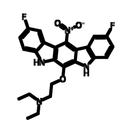 CCN(CC)CCOc1c2[nH]c3ccc(F)cc3c2c([N+](=O)[O-])c2c1[nH]c1ccc(F)cc12